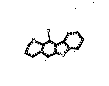 Clc1c2ncccc2cc2oc3ccccc3c12